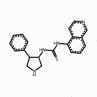 S=C(Nc1cccc2cnccc12)NC1CNCC1c1ccccc1